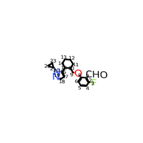 O=Cc1c(F)cccc1OCC1CCCCC1c1ccnn1C1CC1